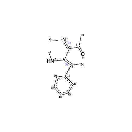 C/N=C(C(C)=O)\C(NC)=C(/C)c1ccccc1